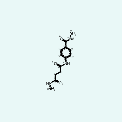 NNC(=O)CCC(=O)Nc1ccc(C(=O)NN)cc1